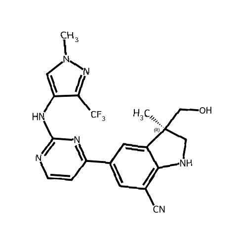 Cn1cc(Nc2nccc(-c3cc(C#N)c4c(c3)[C@@](C)(CO)CN4)n2)c(C(F)(F)F)n1